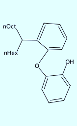 CCCCCCCCC(CCCCCC)c1ccccc1Oc1ccccc1O